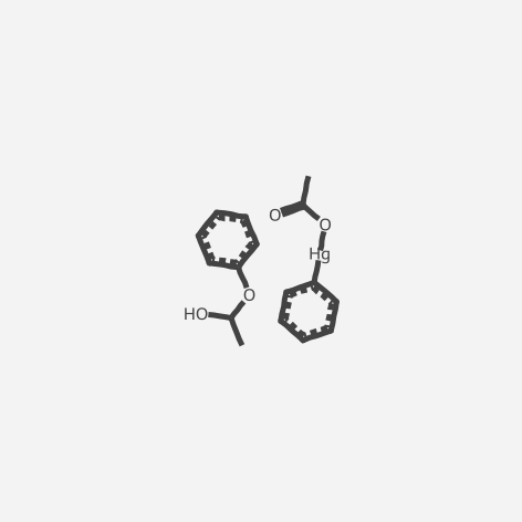 CC(=O)[O][Hg][c]1ccccc1.CC(O)Oc1ccccc1